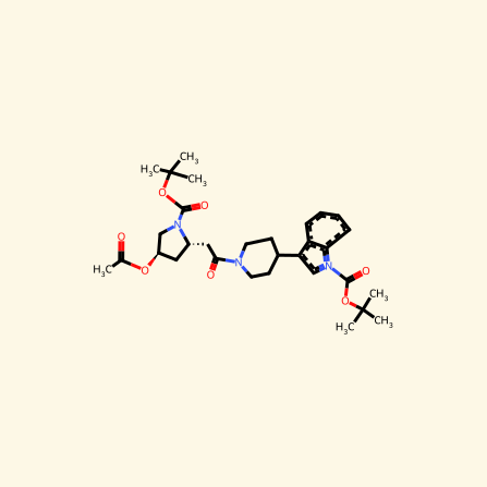 CC(=O)O[C@@H]1C[C@@H](CC(=O)N2CCC(c3cn(C(=O)OC(C)(C)C)c4ccccc34)CC2)N(C(=O)OC(C)(C)C)C1